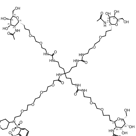 CC(=O)N[C@@H]1[C@@H](O)[C@@H](O)[C@@H](CO)O[C@@H]1CCCOCCOCCNC(=O)NCCCC(CCCNC(=O)NCCOCCOCCC[C@H]1O[C@H](CO)[C@H](O)[C@H](O)[C@H]1NC(C)=O)(CCCNC(=O)NCCOCCOCCC[C@H]1O[C@H](CO)[C@H](O)[C@H](O)[C@H]1NC(C)=O)NC(=O)COCCOCCOCCOCCN(C1CCOCC1)S(=O)(=O)c1ccccc1[N+](=O)[O-]